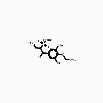 CCNS(=O)(=O)C(CC(=O)O)C(O)c1cc(C(C)(C)C)c(OCOC)c(C(C)(C)C)c1